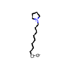 O=[C]CCCCCCCCN1CCCC1